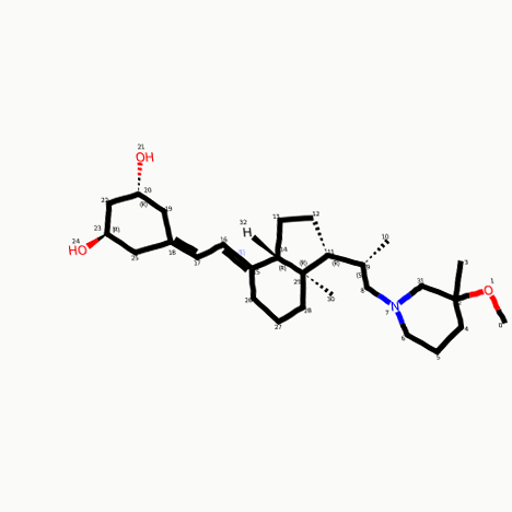 COC1(C)CCCN(C[C@@H](C)[C@H]2CC[C@H]3/C(=C/C=C4C[C@@H](O)C[C@H](O)C4)CCC[C@]23C)C1